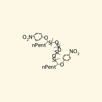 CCCCCC(Oc1ccc([N+](=O)[O-])cc1)[Si](C)(C)O[Si](C)(C)O[Si](C)(C)O[Si](C)(C)C(CCCCC)Oc1ccc([N+](=O)[O-])cc1